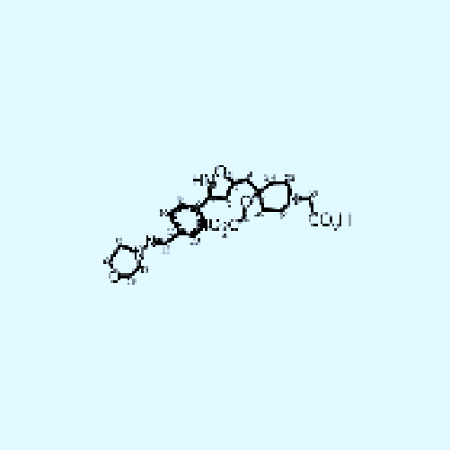 O=C(O)COC1(CC2CC(c3ccc(C=NN4CCOCC4)cc3)NO2)CCN(CC(=O)O)CC1